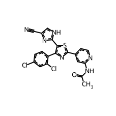 CC(=O)Nc1cc(-c2nc(-c3ccc(Cl)cc3Cl)c(-c3nc(C#N)c[nH]3)s2)ccn1